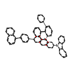 c1ccc(-c2ccccc2-c2c(-c3ccccc3)cccc2N(c2ccc(-c3ccc(-c4cccc5ccccc45)cc3)cc2)c2cccc(-n3c4ccccc4c4ccccc43)c2)cc1